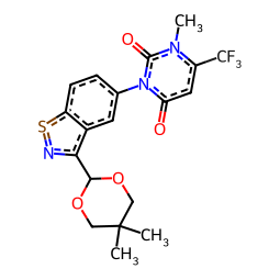 Cn1c(C(F)(F)F)cc(=O)n(-c2ccc3snc(C4OCC(C)(C)CO4)c3c2)c1=O